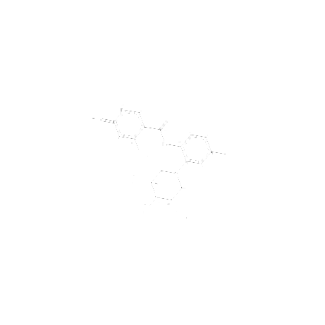 C[C@@H]1CN(c2cc(F)ccc2NC(=O)c2c[nH]c(=O)cc2C(F)(F)F)C[C@H](C)N1C